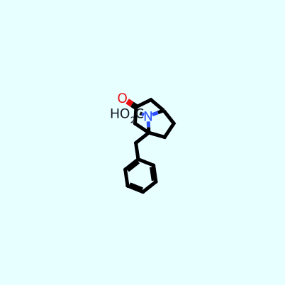 O=C1CC2CCC(Cc3ccccc3)(C1)N2C(=O)O